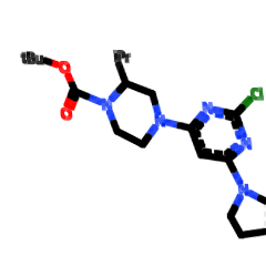 CC(C)C1CN(c2cc(N3CCCC3)nc(Cl)n2)CCN1C(=O)OC(C)(C)C